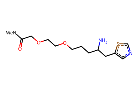 CNC(=O)COCCOCCCC(N)Cc1cncs1